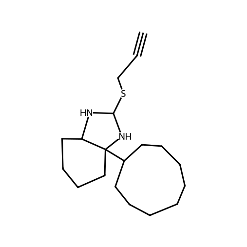 C#CCSC1NC2CCCCC2(C2CCCCCCCC2)N1